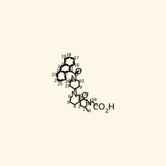 CC1CC2(CCCN(C3CCN(C(=O)c4c5ccccc5cc5ccccc45)CC3)C2)C(=O)N1CC(=O)O